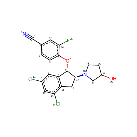 N#Cc1ccc(O[C@H]2c3cc(Cl)cc(Cl)c3C[C@@H]2N2CCC(O)C2)c(F)c1